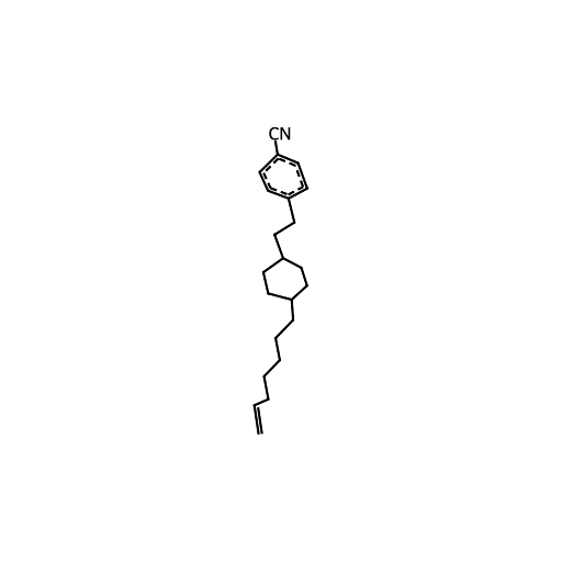 C=CCCCCCC1CCC(CCc2ccc(C#N)cc2)CC1